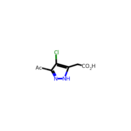 CC(=O)c1n[nH]c(CC(=O)O)c1Cl